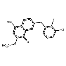 CC(C)(C)n1cc(OC(=O)O)c(=O)c2cc(Cc3cccc(Cl)c3F)ccc21